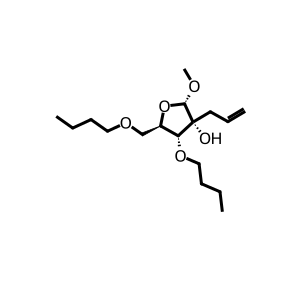 C=CC[C@]1(O)[C@@H](OC)O[C@H](COCCCC)[C@H]1OCCCC